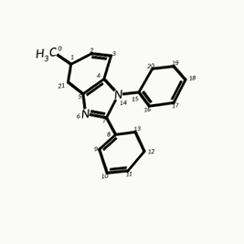 CC1C=Cc2c(nc(C3=CC=CCC3)n2C2=CC=CCC2)C1